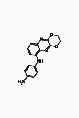 Nc1ccc(Nc2cccc3nc4c(nc23)OCCO4)cc1